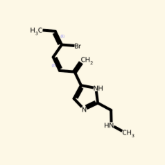 C=C(/C=C\C(Br)=C/C)c1cnc(CNC)[nH]1